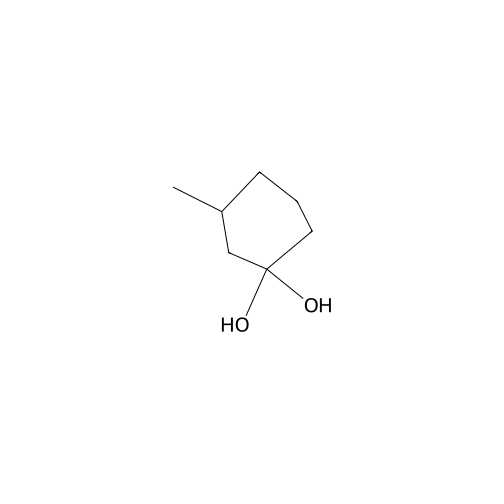 CC1CCCC(O)(O)C1